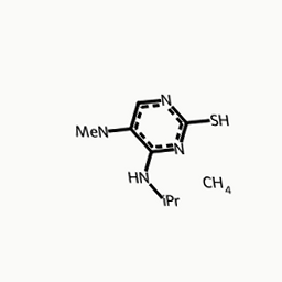 C.CNc1cnc(S)nc1NC(C)C